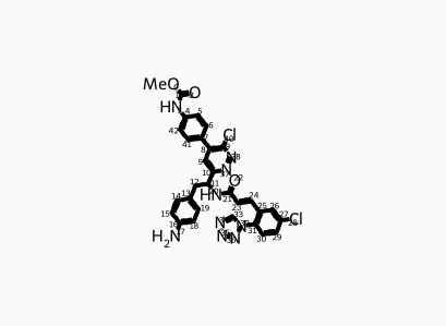 COC(=O)Nc1ccc(-c2cc(C(Cc3ccc(N)cc3)NC(=O)C=Cc3cc(Cl)ccc3-n3cnnn3)nnc2Cl)cc1